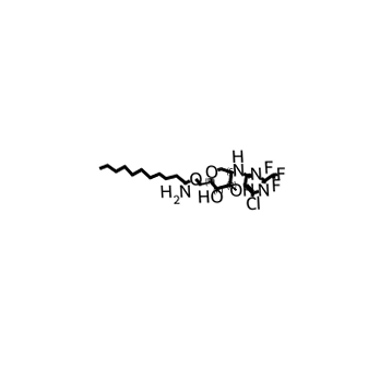 CCCCCCCCCCC(N)OC[C@H]1OC[C@H](Nc2cc(Cl)nc(C(F)(F)F)n2)[C@@H](O)[C@H]1O